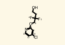 OCCC(F)(F)COc1cc(Cl)ccn1